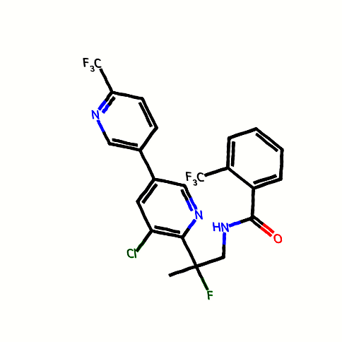 CC(F)(CNC(=O)c1ccccc1C(F)(F)F)c1ncc(-c2ccc(C(F)(F)F)nc2)cc1Cl